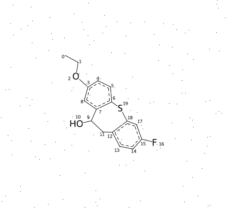 CCOc1ccc2c(c1)C(O)Cc1ccc(F)cc1S2